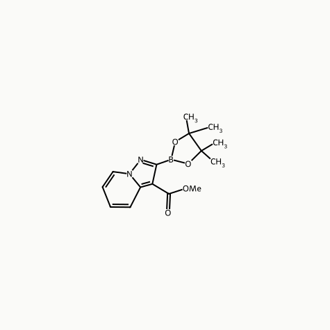 COC(=O)c1c(B2OC(C)(C)C(C)(C)O2)nn2ccccc12